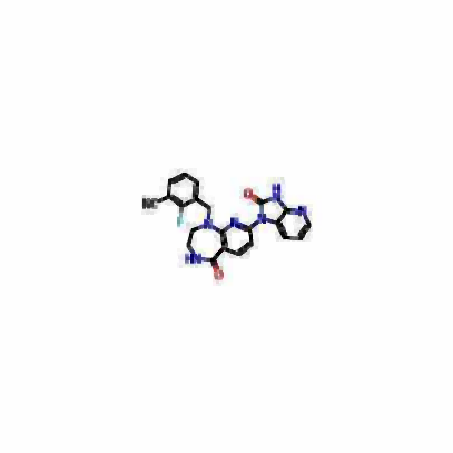 N#Cc1cccc(CN2CCNC(=O)c3ccc(-n4c(=O)[nH]c5ncccc54)nc32)c1F